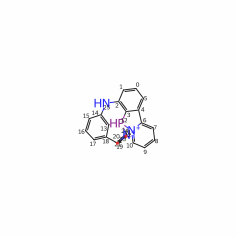 c1cc2c3c(c1)-c1cccc[n+]1[PH]31c3c(cccc3-c3cccc[n+]31)N2